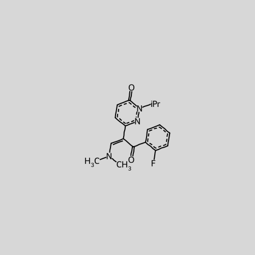 CC(C)n1nc(C(=CN(C)C)C(=O)c2ccccc2F)ccc1=O